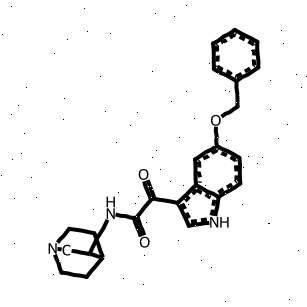 O=C(NC1CN2CCC1CC2)C(=O)c1c[nH]c2ccc(OCc3ccccc3)cc12